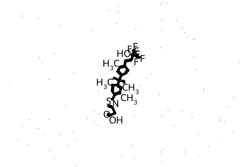 CCC(CC)(c1ccc(/C=C/C(O)(C(F)(F)F)C(F)(F)F)c(C)c1)c1ccc(-c2nc(CC(=O)O)cs2)c(C)c1